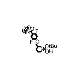 CC(C)(C)OC(O)N1CCCC(COc2cc(F)c(C(=O)NS(C)(=O)=O)cc2F)C1